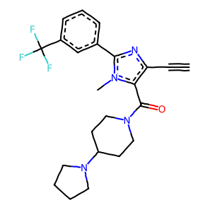 C#Cc1nc(-c2cccc(C(F)(F)F)c2)n(C)c1C(=O)N1CCC(N2CCCC2)CC1